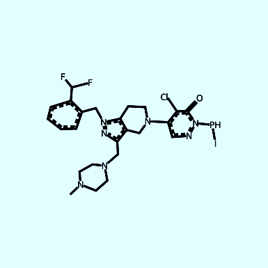 CN1CCN(Cc2nn(Cc3ccccc3C(F)F)c3c2CN(c2cnn(PI)c(=O)c2Cl)CC3)CC1